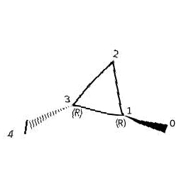 C[C@@H]1C[C@H]1I